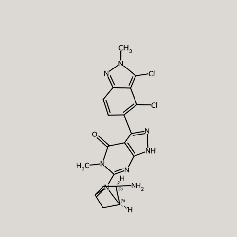 Cn1nc2ccc(-c3n[nH]c4nc(N5C6=C[C@@H](N)[C@H]5C6)n(C)c(=O)c34)c(Cl)c2c1Cl